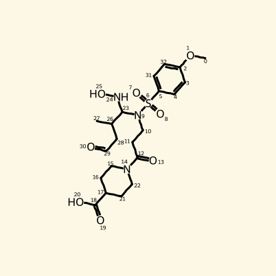 COc1ccc(S(=O)(=O)N(CCC(=O)N2CCC(C(=O)O)CC2)C(NO)C(C)CC=O)cc1